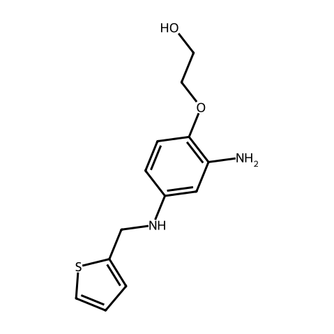 Nc1cc(NCc2cccs2)ccc1OCCO